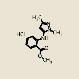 COC(=O)c1ccccc1Nc1cc(C)nn1C.Cl